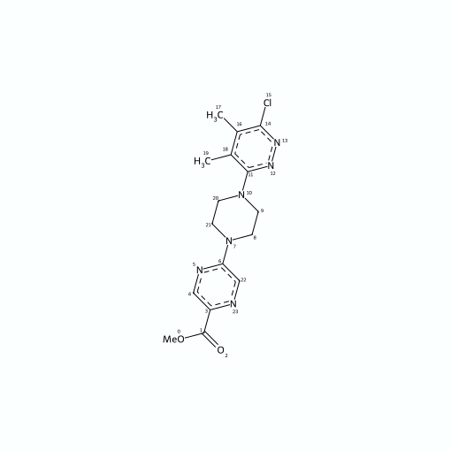 COC(=O)c1cnc(N2CCN(c3nnc(Cl)c(C)c3C)CC2)cn1